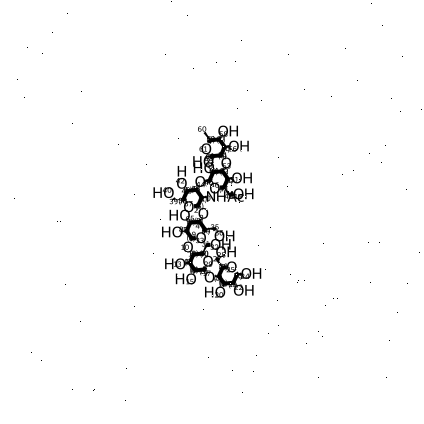 CC(=O)N[C@H]1[C@H](O[C@@H]2[C@H](O)[C@@H](O)[C@@H](O[C@@H]3[C@H](O)[C@@H](O)[C@H](O[C@H]4[C@H](O)[C@@H](O)[C@H](O)O[C@@H]4CO)O[C@@H]3CO)O[C@@H]2CO)O[C@H](CO)[C@H](O)[C@@H]1O[C@@H]1O[C@H](CO)[C@H](O)[C@H](O[C@H]2[C@H](O)[C@H](O)[C@H](C)O[C@H]2O)[C@H]1O